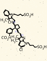 CC1(C)C2=CC(Cl)=CN(CCCCS(=O)(=O)O)C2=N/C1=C/C=C1\CCC(/C=C/C2=[N+](CCCCS(=O)(=O)O)c3ccccc3C2(C)C)=C1c1cccc(C(=O)O)c1